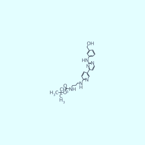 CC(C)(C)OC(=O)NCCCNc1ccc(-c2ccnc(Nc3cccc(CO)c3)n2)cn1